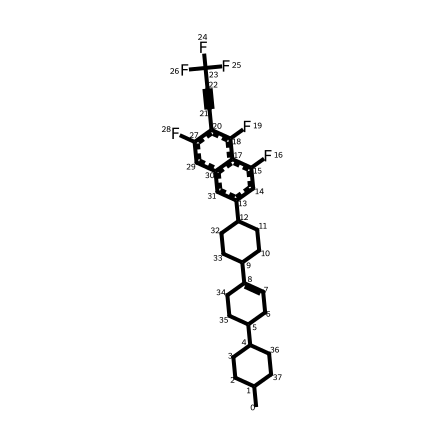 CC1CCC(C2CC=C(C3CCC(c4cc(F)c5c(F)c(C#CC(F)(F)F)c(F)cc5c4)CC3)CC2)CC1